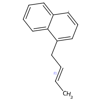 C/C=C/Cc1cc[c]c2ccccc12